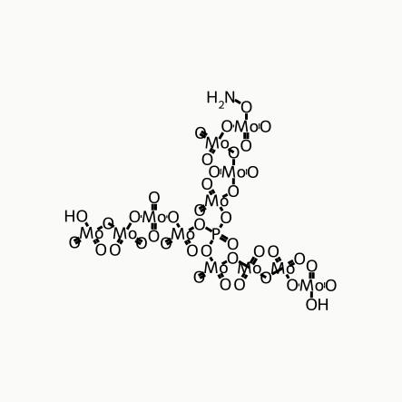 N[O][Mo](=[O])(=[O])[O][Mo](=[O])(=[O])[O][Mo](=[O])(=[O])[O][Mo](=[O])(=[O])[O]P(=O)([O][Mo](=[O])(=[O])[O][Mo](=[O])(=[O])[O][Mo](=[O])(=[O])[O][Mo](=[O])(=[O])[OH])[O][Mo](=[O])(=[O])[O][Mo](=[O])(=[O])[O][Mo](=[O])(=[O])[O][Mo](=[O])(=[O])[OH]